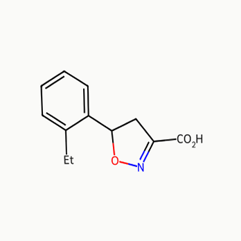 CCc1ccccc1C1CC(C(=O)O)=NO1